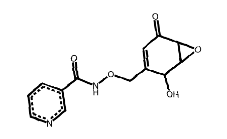 O=C(NOCC1=CC(=O)C2OC2C1O)c1cccnc1